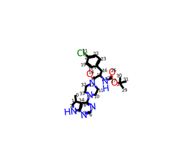 CC1CNc2ncnc(N3CCN(C(=O)C(Cc4ccc(Cl)cc4)NC(=O)OC(C)(C)C)CC3)c21